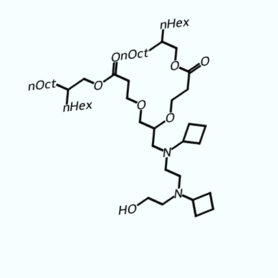 CCCCCCCCC(CCCCCC)COC(=O)CCOCC(CN(CCN(CCO)C1CCC1)C1CCC1)OCCC(=O)OCC(CCCCCC)CCCCCCCC